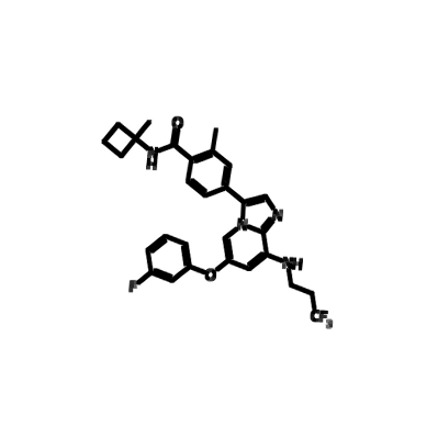 Cc1cc(-c2cnc3c(NCCC(F)(F)F)cc(Oc4cccc(F)c4)cn23)ccc1C(=O)NC1(C)CCC1